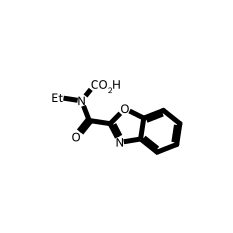 CCN(C(=O)O)C(=O)c1nc2ccccc2o1